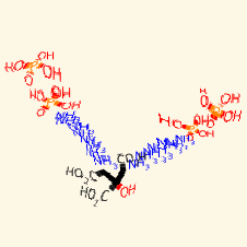 N.N.N.N.N.N.N.N.N.N.N.N.N.N.N.O=C(O)CC(O)(CC(=O)O)C(=O)O.O=P(O)(O)O.O=P(O)(O)O.O=P(O)(O)O.O=P(O)(O)O